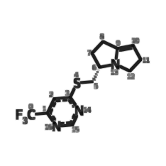 FC(F)(F)c1cc(SC[C@@H]2CCC3=CCCN32)ncn1